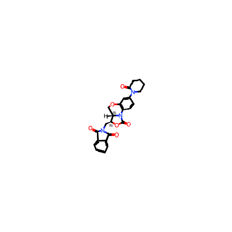 O=C1c2ccccc2C(=O)N1C[C@@H]1OC(=O)N2c3ccc(N4CCCCC4=O)cc3OC[C@@H]12